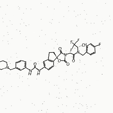 C[C@H](N(Cc1ccc(F)cc1)C(=O)CN1C(=O)O[C@@]2(CCc3cc(NC(=O)Nc4cccc(CN5CCOCC5)c4)ccc32)C1=O)C(F)(F)F